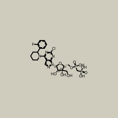 O=P(O)(O)CP(=O)(O)OC[C@H]1O[C@@H](n2ncc3c(N4CCCCC4c4ccccc4F)nc(Cl)nc32)[C@H](O)[C@@]1(O)CO